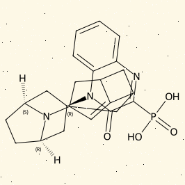 O=c1c(P(=O)(O)O)nc2ccccc2n1[C@H]1C[C@H]2CC[C@@H](C1)N2C12C=C3C(CC3C1)C2